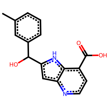 Cc1cccc(C(O)c2cc3nccc(C(=O)O)c3[nH]2)c1